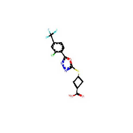 O=C(O)[C@H]1C[C@H](Sc2nnc(-c3ccc(C(F)(F)F)cc3Cl)o2)C1